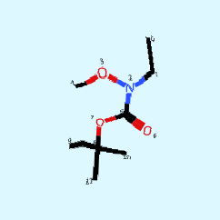 CCN(OC)C(=O)OC(C)(C)C